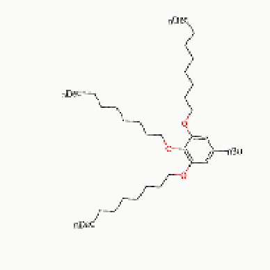 [CH2]CCCc1cc(OCCCCCCCCCCCCCCCCC)c(OCCCCCCCCCCCCCCCCC)c(OCCCCCCCCCCCCCCCCC)c1